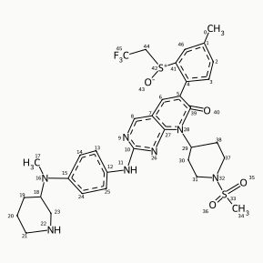 Cc1ccc(-c2cc3cnc(Nc4ccc(N(C)C5CCCNC5)cc4)nc3n(C3CCN(S(C)(=O)=O)CC3)c2=O)c([S+]([O-])CC(F)(F)F)c1